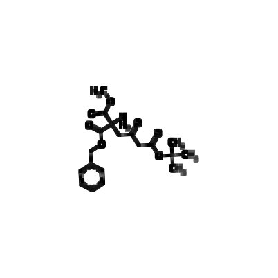 COC(=O)C(N)(CC(=O)CC(=O)OC(C)(C)C)C(=O)OCc1ccccc1